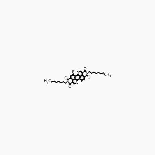 CCCCCCCCN1C(=O)c2cnc3c4c(F)cc5c6c(cnc(c7c(F)cc(c2c37)C1=O)c64)C(=O)N(CCCCCCCC)C5=O